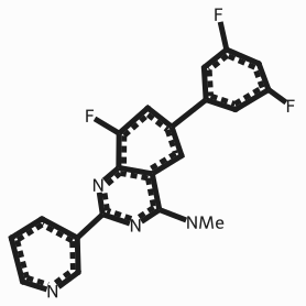 CNc1nc(-c2cccnc2)nc2c(F)cc(-c3cc(F)cc(F)c3)cc12